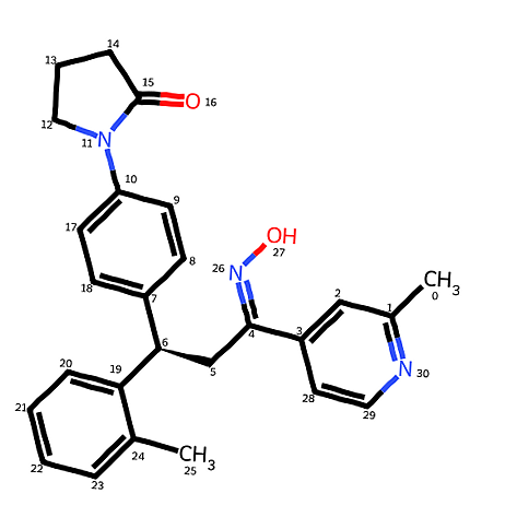 Cc1cc(C(C[C@H](c2ccc(N3CCCC3=O)cc2)c2ccccc2C)=NO)ccn1